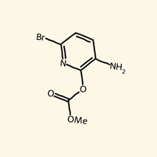 COC(=O)Oc1nc(Br)ccc1N